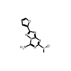 C[S+]([O-])c1nc(N)n2nc(-c3ccco3)nc2n1